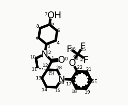 O=C1N(C2CCC(O)CC2)CC[C@]12CCCN(c1ccccc1OC(F)(F)F)C2